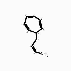 N/C=C\CC1C=CC=CC=C1